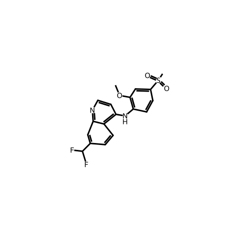 COc1cc(S(C)(=O)=O)ccc1Nc1ccnc2cc(C(F)F)ccc12